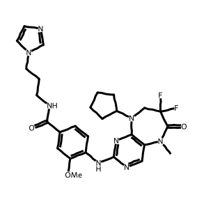 COc1cc(C(=O)NCCCn2ccnc2)ccc1Nc1ncc2c(n1)N(C1CCCC1)CC(F)(F)C(=O)N2C